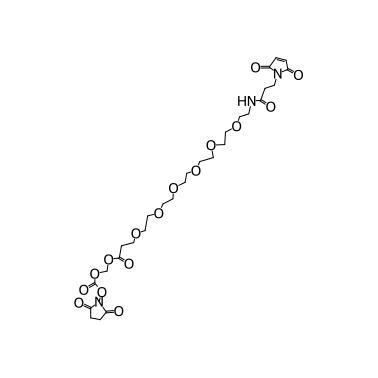 O=C(CCN1C(=O)C=CC1=O)NCCOCCOCCOCCOCCOCCOCCC(=O)OCOC(=O)ON1C(=O)CCC1=O